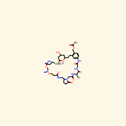 COCCC(C)(N)OCN(C)OCCC(=O)NCC1CCC(=O)N1CC(=O)NC(C(=O)NCC(=O)Nc1ccc(COC(=O)C(C)(C)C)c(CCC2CC(O)CC(C(=O)O)O2)c1)C(C)C